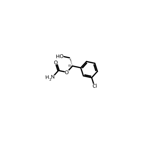 NC(=O)O[C@H](CO)c1cccc(Cl)c1